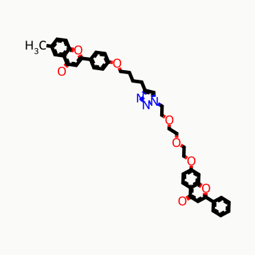 Cc1ccc2oc(-c3ccc(OCCCCc4cn(CCOCCOCCOc5ccc6c(=O)cc(-c7ccccc7)oc6c5)nn4)cc3)cc(=O)c2c1